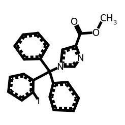 COC(=O)c1cn(C(c2ccccc2)(c2ccccc2)c2ccccc2I)cn1